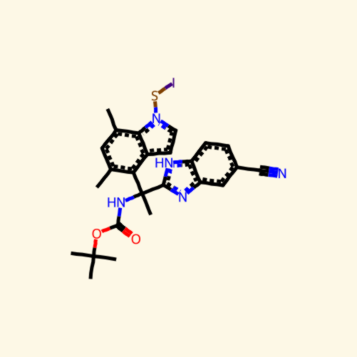 Cc1cc(C)c2c(ccn2SI)c1C(C)(NC(=O)OC(C)(C)C)c1nc2cc(C#N)ccc2[nH]1